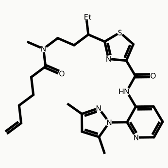 C=CCCCC(=O)N(C)CCC(CC)c1nc(C(=O)Nc2cccnc2-n2nc(C)cc2C)cs1